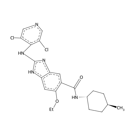 CCOc1cc2[nH]c(Nc3c(Cl)cncc3Cl)nc2cc1C(=O)N[C@H]1CC[C@H](C)CC1